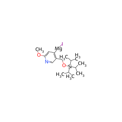 COc1c[c]([Mg][I])c(CO[Si](C(C)C)(C(C)C)C(C)C)cn1